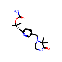 CC(C)(Cc1ccc(CN2CCNC(=O)C2(C)C)cn1)OC(N)=O